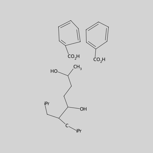 CC(C)CC(CC(C)C)C(O)CCC(C)O.O=C(O)c1ccccc1.O=C(O)c1ccccc1